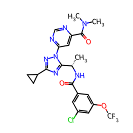 C[C@H](NC(=O)c1cc(Cl)cc(OC(F)(F)F)c1)c1nc(C2CC2)nn1-c1cc(C(=O)N(C)C)ncn1